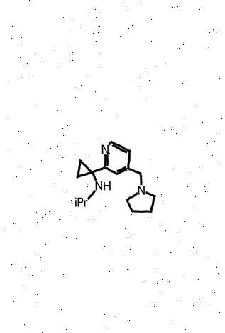 CC(C)NC1(c2cc(CN3CCCC3)ccn2)CC1